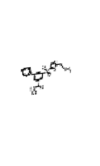 CCNC(=O)c1cc(-c2ccccc2)cc(S(=O)(=O)c2cnc(CN)s2)c1